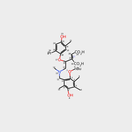 CCCCOc1c(C)c(C)c(O)c(C)c1CN(C)CC(Oc1cc(C)c(O)cc1C(C)C)/C(=C/C(=O)O)C(=O)O